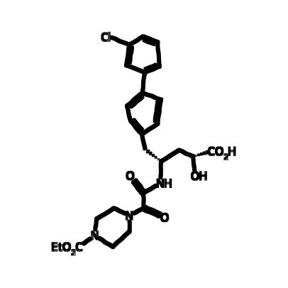 CCOC(=O)N1CCN(C(=O)C(=O)N[C@H](Cc2ccc(-c3cccc(Cl)c3)cc2)C[C@@H](O)C(=O)O)CC1